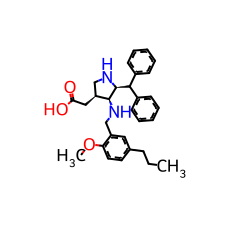 CCCc1ccc(OC)c(CN[C@H]2[C@@H](CC(=O)O)CN[C@H]2C(c2ccccc2)c2ccccc2)c1